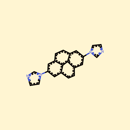 c1cn(-c2cc3ccc4cc(-n5ccnc5)cc5ccc(c2)c3c45)cn1